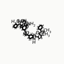 CN(C)[C@@H](C(=O)N1CCC[C@H]1c1nc2cc(-c3cnc(-c4ccc([N+]5(C(=O)[C@@H](c6ccccc6)N(C)C)CCC[C@H]5C(N)=O)c(F)c4)o3)ccc2[nH]1)c1ccccc1